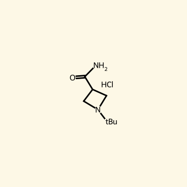 CC(C)(C)N1CC(C(N)=O)C1.Cl